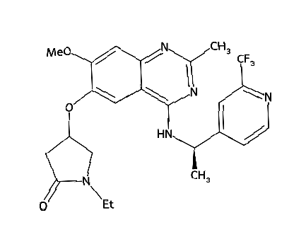 CCN1CC(Oc2cc3c(N[C@H](C)c4ccnc(C(F)(F)F)c4)nc(C)nc3cc2OC)CC1=O